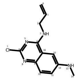 C=CCNc1nc(Cl)nc2ccc(NC)cc12